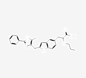 CCCSC(Cc1ccc2oc(Cc3nc(-c4ccccc4)oc3C)cc2c1)C(=O)O